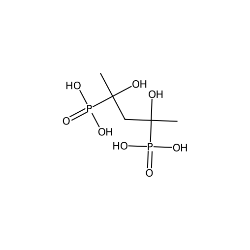 CC(O)(CC(C)(O)P(=O)(O)O)P(=O)(O)O